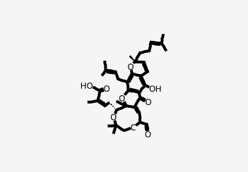 CC(C)=CCC[C@]1(C)C=Cc2c(O)c3c(c(CC=C(C)C)c2O1)OC1(C)/C(=C\C(C=O)CCC(C)(C)O[C@@H]1C/C=C(/C)C(=O)O)C3=O